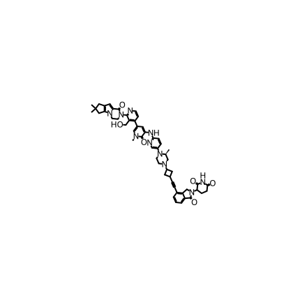 C[C@H]1CN(C2CC(C#Cc3cccc4c3CN(C3CCC(=O)NC3=O)C4=O)C2)CCN1c1ccc(Nc2cc(-c3ccnc(N4CCn5c(cc6c5CC(C)(C)C6)C4=O)c3CO)cn(C)c2=O)nc1